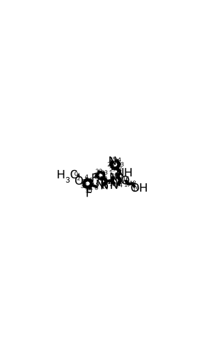 CCOc1cc(F)c(Cn2nc(-c3ncc(OCCO)c(Nc4ccncc4)n3)c3c2CCC3)c(F)c1